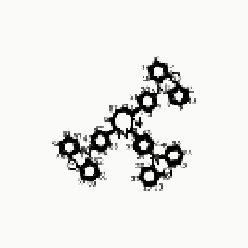 C1=C(c2ccc(N3c4ccccc4Oc4ccccc43)cc2)/N=C(c2ccc(N3c4ccccc4Oc4ccccc43)cc2)\N=C(\c2ccc(N3c4ccccc4Oc4ccccc43)cc2)CC\1